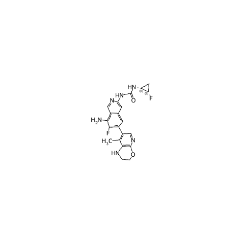 Cc1c(-c2cc3cc(NC(=O)N[C@@H]4C[C@@H]4F)ncc3c(N)c2F)cnc2c1NCCO2